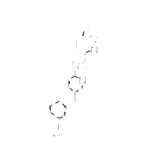 CN1N=C(C(=O)Nc2ccc(Cc3cccc(C4CC4)c3)cn2)CCC1=O